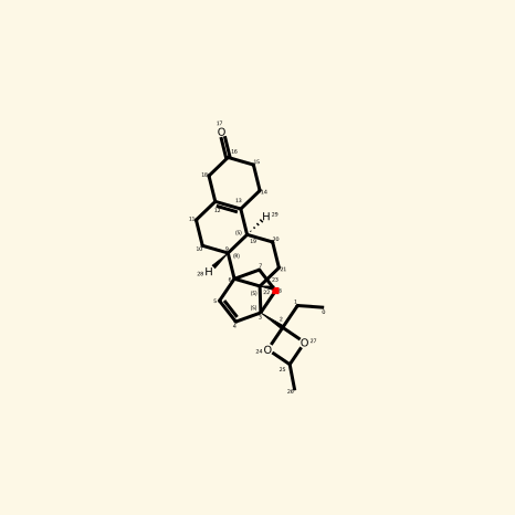 CCC1([C@]23C=CC4(CC2)[C@@H]2CCC5=C(CCC(=O)C5)[C@H]2CC[C@@]43C)OC(C)O1